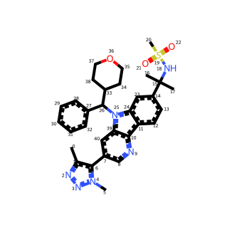 Cc1nnn(C)c1-c1cnc2c3ccc(C(C)(C)NS(C)(=O)=O)cc3n(C(c3ccccc3)C3CCOCC3)c2c1